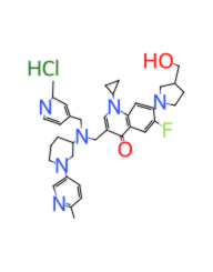 Cc1ccc(N2CCC[C@H](N(Cc3ccnc(C)c3)Cc3cn(C4CC4)c4cc(N5CCC(CO)C5)c(F)cc4c3=O)C2)cn1.Cl